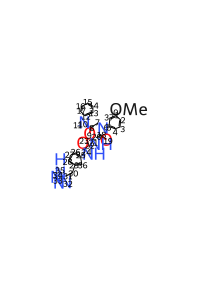 COc1cccc(N(CC(=O)N(C)c2ccccc2)C(=O)CNC(=O)Nc2cccc(Cc3nnn[nH]3)c2)c1